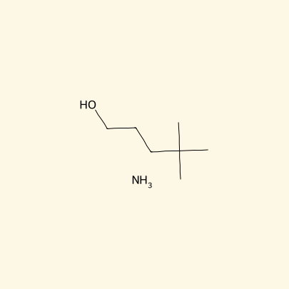 CC(C)(C)CCCO.N